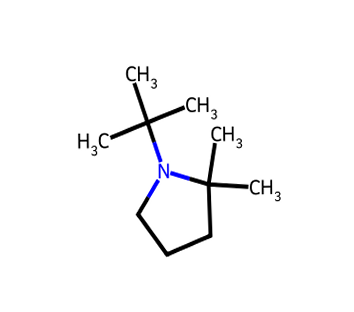 CC(C)(C)N1CCCC1(C)C